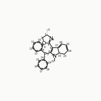 C[C@H]1COC(C2=C(P(c3ccccc3)c3ccccc3)N(C)C3CC=CC=C23)=N1